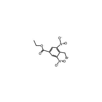 CCOC(=O)c1cc([N+](=O)[O-])c(CBr)c([N+](=O)[O-])c1